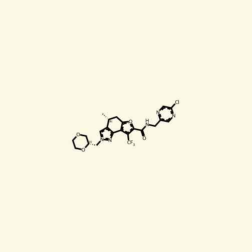 C[C@@H]1Cc2oc(C(=O)NCc3cnc(Cl)cn3)c(C(F)(F)F)c2-c2nn(C[C@H]3COCCO3)cc21